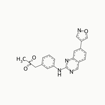 CS(=O)(=O)Cc1cccc(Nc2ncc3ccc(-c4cnoc4)cc3n2)c1